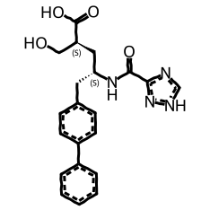 O=C(N[C@H](Cc1ccc(-c2ccccc2)cc1)C[C@@H](CO)C(=O)O)c1nc[nH]n1